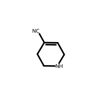 N#CC1=CCN[CH]C1